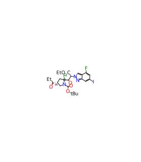 CCOC(=O)C(C(=O)[C@@]1(F)C[C@@H](C(=O)CC)CN1C(=O)OC(C)(C)C)n1cc2c(F)cc(I)cc2n1